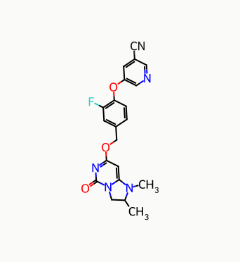 CC1Cn2c(cc(OCc3ccc(Oc4cncc(C#N)c4)c(F)c3)nc2=O)N1C